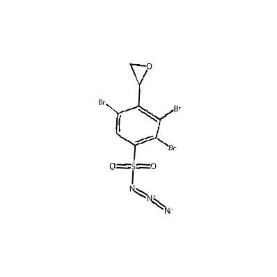 [N-]=[N+]=NS(=O)(=O)c1cc(Br)c(C2CO2)c(Br)c1Br